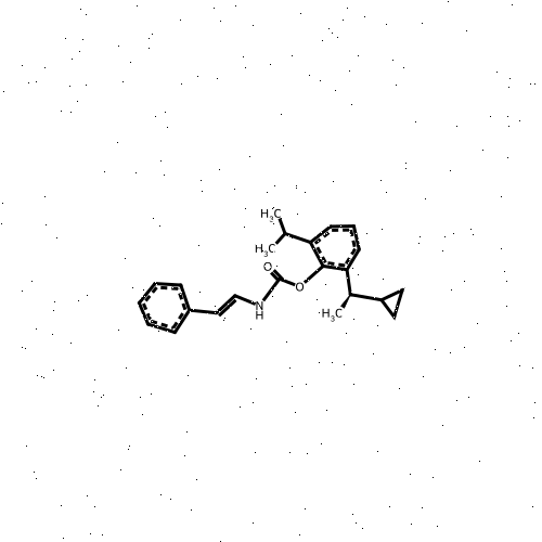 CC(C)c1cccc([C@H](C)C2CC2)c1OC(=O)NC=Cc1ccccc1